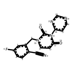 N#Cc1ccc(F)cc1Cn1ccc(=O)n(-c2ccncn2)c1=O